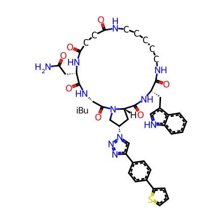 CC[C@H](C)[C@@H]1NC(=O)[C@H](CC(N)=O)NC(=O)CCC(=O)NCCCCCNC(=O)[C@H](Cc2c[nH]c3ccccc23)NC(=O)[C@@H]2C[C@H](n3cc(-c4ccc(-c5cccs5)cc4)nn3)CN2C1=O